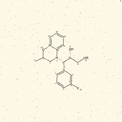 CC1CN([C@@H](c2cccc(F)c2)[C@H](O)CO)c2ccccc2O1